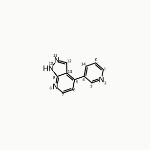 [c]1cncc(-c2ccnc3[nH]ncc23)c1